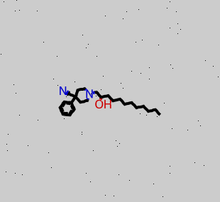 CCCCCCCCCCC(O)CN1CCC(C#N)(c2ccccc2)CC1